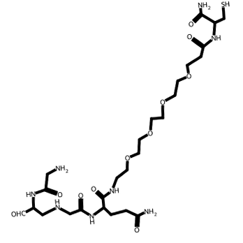 NCC(=O)NC(C=O)CNCC(=O)NC(CCC(N)=O)C(=O)NCCOCCOCCOCCOCCC(=O)NC(CS)C(N)=O